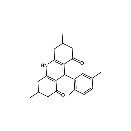 Cc1ccc(C)c(C2C3=C(CC(C)CC3=O)NC3=C2C(=O)CC(C)C3)c1